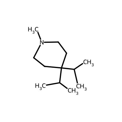 CC(C)C1(C(C)C)CCN(C)CC1